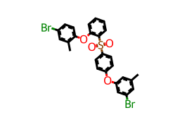 Cc1cc(Br)cc(Oc2ccc(S(=O)(=O)c3ccccc3Oc3ccc(Br)cc3C)cc2)c1